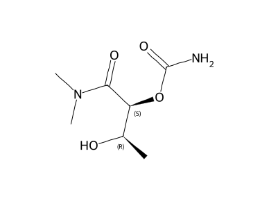 C[C@@H](O)[C@H](OC(N)=O)C(=O)N(C)C